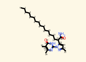 CCCCCCCCCCCCCCCC(C(N)=O)c1cc(C)nn1-c1nc(C)c(C)c(=O)[nH]1